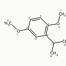 COc1ccc(OC)c(C(C)C)c1